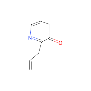 C=CCC1=NC=CCC1=O